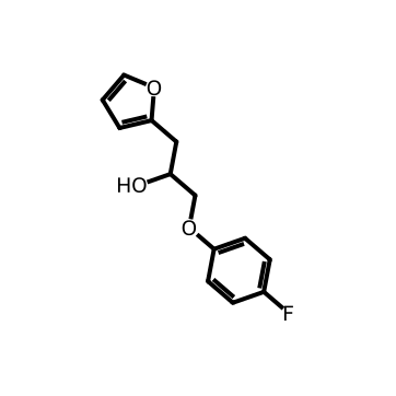 OC(COc1ccc(F)cc1)Cc1ccco1